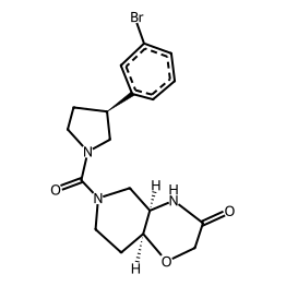 O=C1CO[C@H]2CCN(C(=O)N3CC[C@@H](c4cccc(Br)c4)C3)C[C@H]2N1